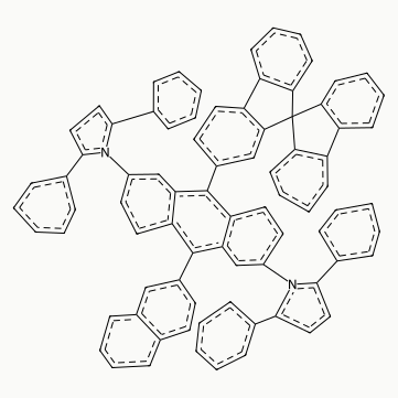 c1ccc(-c2ccc(-c3ccccc3)n2-c2ccc3c(-c4ccc5ccccc5c4)c4cc(-n5c(-c6ccccc6)ccc5-c5ccccc5)ccc4c(-c4ccc5c(c4)C4(c6ccccc6-c6ccccc64)c4ccccc4-5)c3c2)cc1